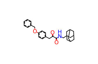 O=C(Cc1ccc(OCc2ccccc2)cc1)C(=O)NCC12CC3CC(CC(C3)C1)C2